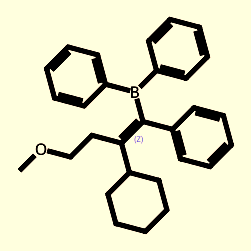 COCC/C(=C(\B(c1ccccc1)c1ccccc1)c1ccccc1)C1CCCCC1